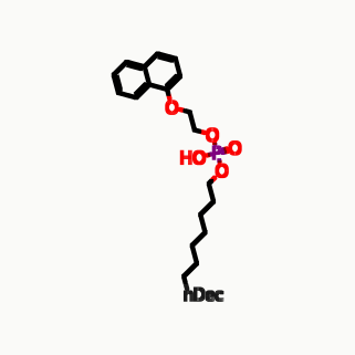 CCCCCCCCCCCCCCCCCOP(=O)(O)OCCOc1cccc2ccccc12